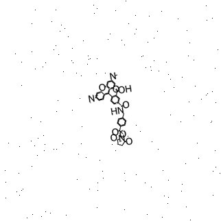 CN(C)c1ccc2c(-c3ccc(C(=O)NCc4ccc(C(=O)ON5C(=O)CCC5=O)cc4)cc3C(=O)O)c3ccc(=[N+](C)C)cc-3oc2c1